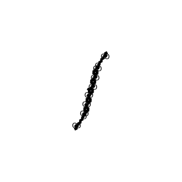 C=CC(=O)OCCCCCOC(=O)Oc1ccc(C(=O)Oc2ccc(C(=O)Oc3ccc(OC(=O)c4ccc(OC(=O)c5ccc(OC(=O)OCCCCCOC(=O)C=C)cc5)cc4)c(C)c3)cc2)cc1